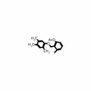 CC(=O)Oc1cccc(I)c1COc1cc(C)c(C)cc1C